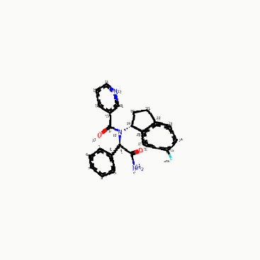 NC(=O)[C@@H](c1ccccc1)N(C(=O)c1cccnc1)[C@@H]1CCc2ccc(F)cc21